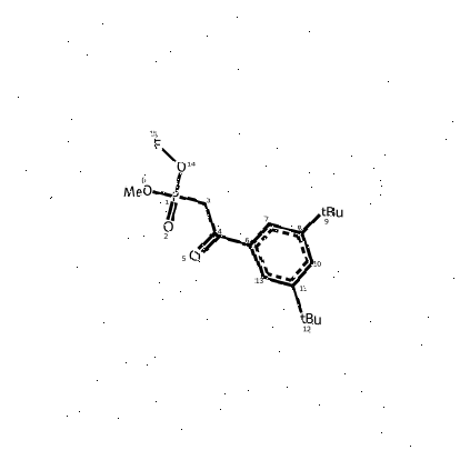 COP(=O)(CC(=O)c1cc(C(C)(C)C)cc(C(C)(C)C)c1)OF